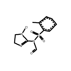 Cc1ccccc1S(=O)(=O)N(C=O)C1=NCCN1Cl